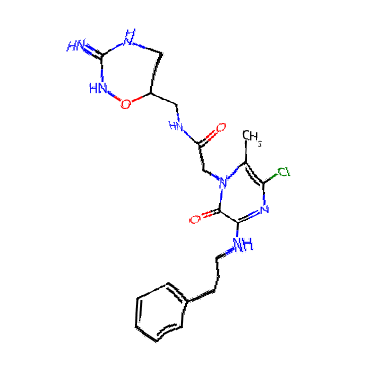 Cc1c(Cl)nc(NCCc2ccccc2)c(=O)n1CC(=O)NCC1CNC(=N)NO1